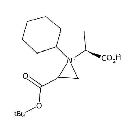 C[C@@H](C(=O)O)[N+]1(C2CCCCC2)CC1C(=O)OC(C)(C)C